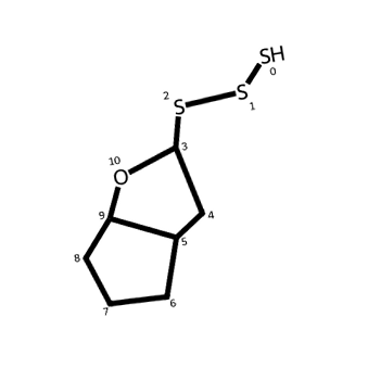 SSSC1CC2CCCC2O1